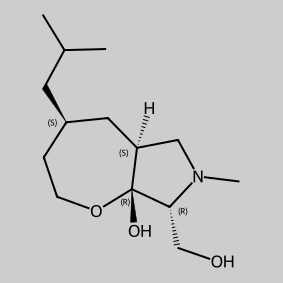 CC(C)C[C@@H]1CCO[C@]2(O)[C@@H](C1)CN(C)[C@@H]2CO